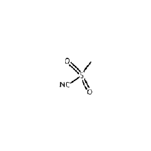 CS(=O)(=O)C#N